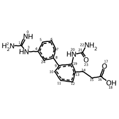 N=C(N)Nc1cccc(-c2cccc(CCC(=O)O)c2NC(N)=O)c1